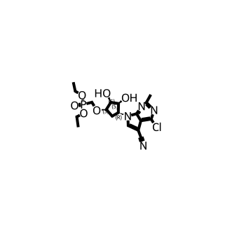 CCOP(=O)(CO[C@H]1C[C@@H](n2cc(C#N)c3c(Cl)nc(C)nc32)[C@H](O)[C@@H]1O)OCC